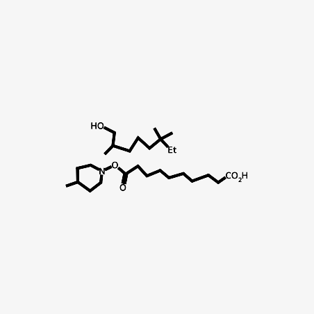 CC1CCN(OC(=O)CCCCCCCCC(=O)O)CC1.CCC(C)(C)CCCC(C)CO